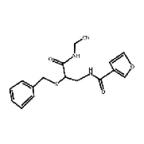 N#CCNC(=O)C(CNC(=O)c1ccoc1)SCc1ccccc1